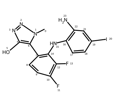 Cn1nnc(O)c1-c1ccc(F)c(F)c1Nc1ccc(I)cc1N